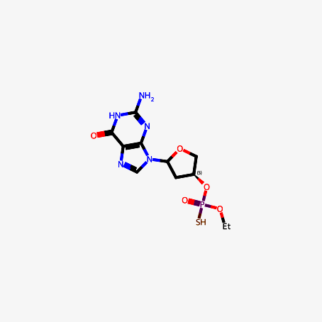 CCOP(=O)(S)O[C@@H]1COC(n2cnc3c(=O)[nH]c(N)nc32)C1